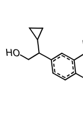 CCc1ccc(C(CO)C2CC2)cc1CC